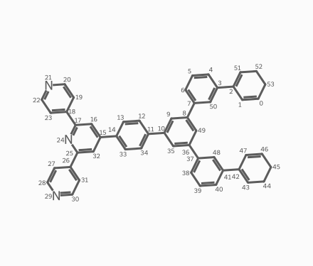 C1=CC(c2cccc(-c3cc(-c4ccc(-c5cc(-c6ccncc6)nc(-c6ccncc6)c5)cc4)cc(-c4cccc(C5=CCCC=C5)c4)c3)c2)=CCC1